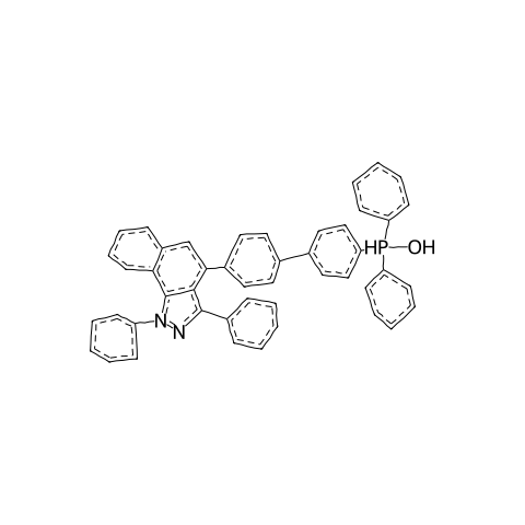 O[PH](c1ccccc1)(c1ccccc1)c1ccc(-c2ccc(-c3cc4ccccc4c4c3c(-c3ccccc3)nn4-c3ccccc3)cc2)cc1